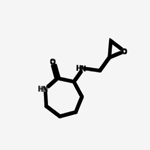 O=C1NCCCCC1NCC1CO1